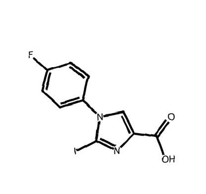 O=C(O)c1cn(-c2ccc(F)cc2)c(I)n1